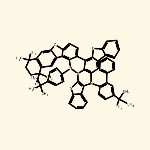 CC(C)(C)c1ccc(N2B3c4sc5ccccc5c4N(c4ccc(C(C)(C)C)cc4-c4ccccc4)c4cc5c(oc6ccccc65)c(c43)-c3ccc4oc5cc6c(cc5c4c32)C(C)(C)CCC6(C)C)cc1